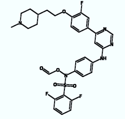 CN1CCC(CCOc2ccc(-c3cc(Nc4ccc(N(OC=O)S(=O)(=O)c5c(F)cccc5F)cc4)ncn3)cc2F)CC1